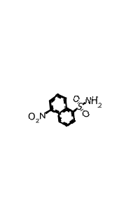 NS(=O)(=O)c1cccc2c([N+](=O)[O-])cccc12